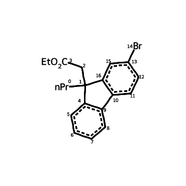 CCCC1(CC(=O)OCC)c2ccccc2-c2ccc(Br)cc21